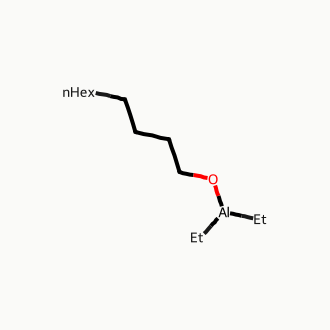 CCCCCCCCCC[O][Al]([CH2]C)[CH2]C